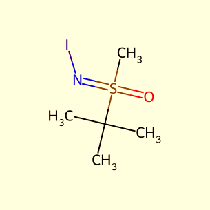 CC(C)(C)S(C)(=O)=NI